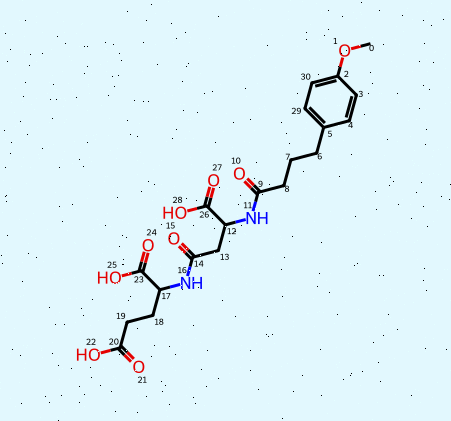 COc1ccc(CCCC(=O)NC(CC(=O)NC(CCC(=O)O)C(=O)O)C(=O)O)cc1